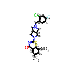 O=c1nc(N2CC3CN(Cc4ccc(F)cc4Cl)CC3C2)sc2c([N+](=O)[O-])cc(C(F)(F)F)cc12